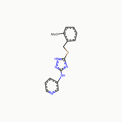 COc1ccccc1CSc1nc(Nc2cccnc2)n[nH]1